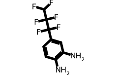 Nc1ccc(C(F)(F)C(F)(F)C(F)F)cc1N